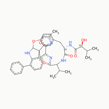 Cc1coc(-c2nc3oc2C24c5cc(ccc5OC2Nc2c(-c5ccccc5)cccc24)C[C@H](NC(=O)[C@@H](O)C(C)C)C(=O)NC3C(C)C)n1